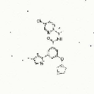 Cc1cnc(-c2cc(O[C@@H]3CCOC3)cc(C(=O)NC(C)c3ccc(Cl)cn3)c2)s1